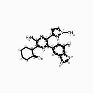 Cn1ccc(-c2nc(N)c(C3CCCCC3=O)nc2-c2cc(Cl)c3ncoc3c2)n1